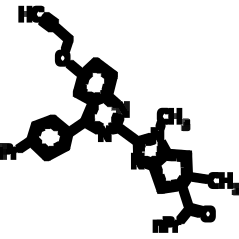 C#CCOc1ccc2nc(-c3nc4cc(C(=O)CCC)c(C)cc4n3C)nc(-c3ccc(C(C)C)cc3)c2c1